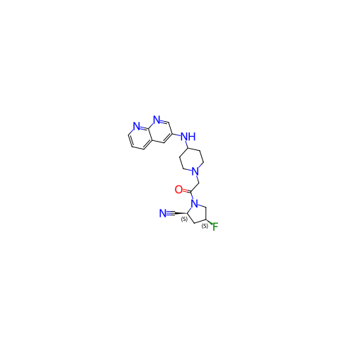 N#C[C@@H]1C[C@H](F)CN1C(=O)CN1CCC(Nc2cnc3ncccc3c2)CC1